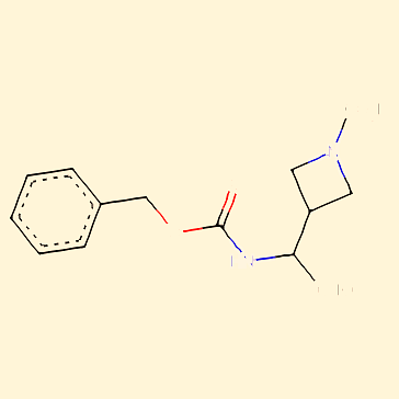 O=CC(NC(=O)OCc1ccccc1)C1CN(C(=O)O)C1